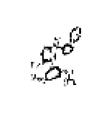 C=CC(=O)Nc1cc(OC)cc(-c2nc(Nc3cccc(N4CCOCC4)c3)ncc2C(F)(F)F)c1